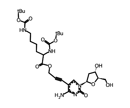 CC(C)(C)OC(=O)NCCCCC(NC(=O)OC(C)(C)C)C(=O)OCC#Cc1cn([C@H]2C[C@H](O)[C@@H](CO)O2)c(=O)nc1N